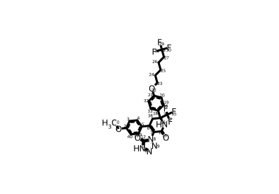 COc1ccc(C2=C(n3nn[nH]c3=O)C(=O)NC(c3ccc(OCCCCCC(F)(F)F)cc3)(C(F)(F)F)C2)cc1